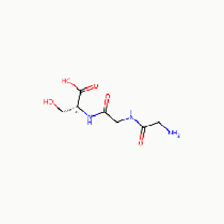 NCC(=O)NCC(=O)N[C@H](CO)C(=O)O